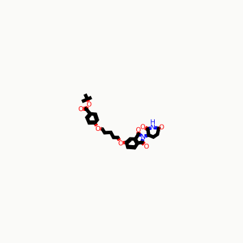 CC(C)(C)OC(=O)c1ccc(OCCCCCOc2ccc3c(c2)C(=O)N(C2CCC(=O)NC2=O)C3=O)cc1